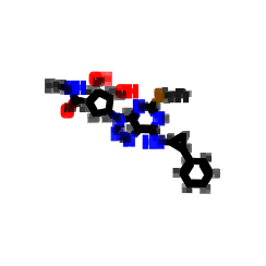 CCCSc1nc(NC2CC2c2ccccc2)c2nnn([C@H]3C[C@@H](C(=O)NCC)[C@H](O)[C@@H]3O)c2n1